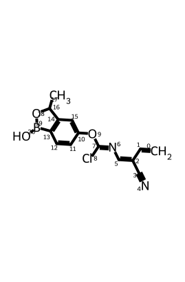 C=C/C(C#N)=C\N=C(/Cl)Oc1ccc2c(c1)C(C)OB2O